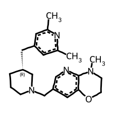 Cc1cc(C[C@H]2CCCN(Cc3cnc4c(c3)OCCN4C)C2)cc(C)n1